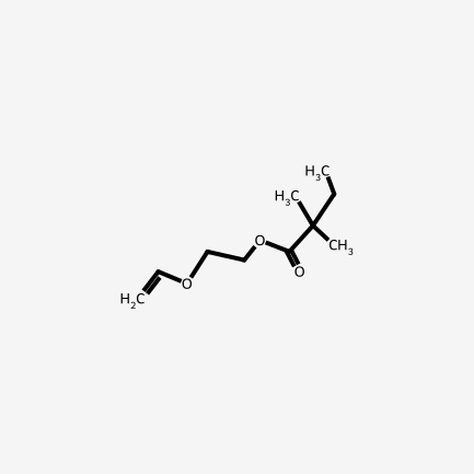 C=COCCOC(=O)C(C)(C)CC